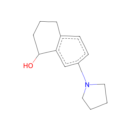 OC1CCCc2ccc(N3CCCC3)cc21